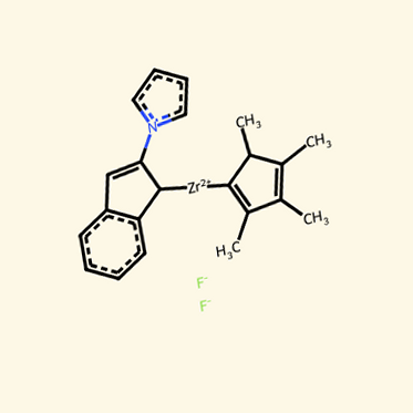 CC1=C(C)C(C)[C]([Zr+2][CH]2C(n3cccc3)=Cc3ccccc32)=C1C.[F-].[F-]